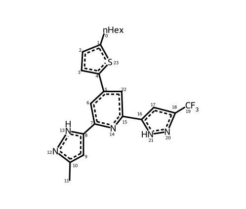 CCCCCCc1ccc(-c2cc(-c3cc(C)n[nH]3)nc(-c3cc(C(F)(F)F)n[nH]3)c2)s1